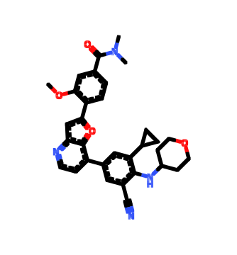 COc1cc(C(=O)N(C)C)ccc1-c1cc2nccc(-c3cc(C#N)c(NC4CCOCC4)c(C4CC4)c3)c2o1